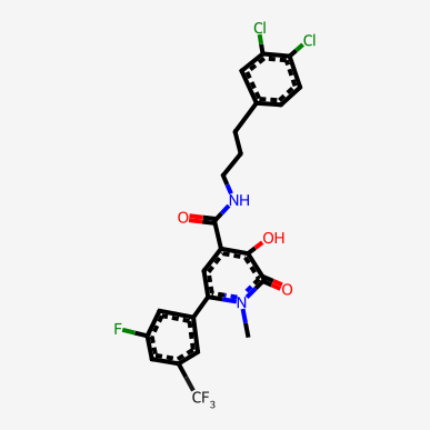 Cn1c(-c2cc(F)cc(C(F)(F)F)c2)cc(C(=O)NCCCc2ccc(Cl)c(Cl)c2)c(O)c1=O